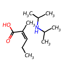 CC(C)NC(C)C.CCC=C(C)C(=O)O